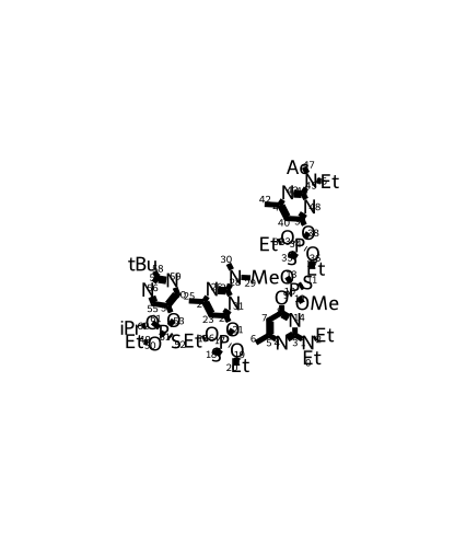 CCN(CC)c1nc(C)cc(OP(=S)(OC)OC)n1.CCOP(=S)(OCC)Oc1cc(C)nc(N(C)C)n1.CCOP(=S)(OCC)Oc1cc(C)nc(N(CC)C(C)=O)n1.CCOP(=S)(Oc1cnc(C(C)(C)C)nc1)OC(C)C